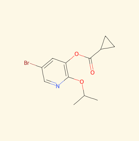 CC(C)Oc1ncc(Br)cc1OC(=O)C1CC1